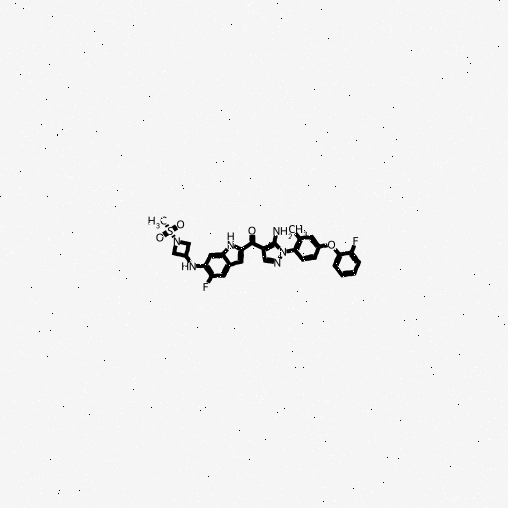 Cc1cc(Oc2ccccc2F)ccc1-n1ncc(C(=O)c2cc3cc(F)c(NC4CN(S(C)(=O)=O)C4)cc3[nH]2)c1N